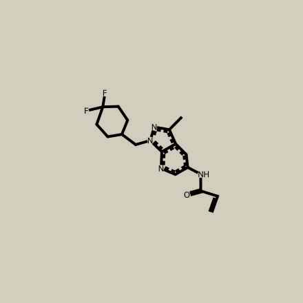 C=CC(=O)Nc1cnc2c(c1)c(C)nn2CC1CCC(F)(F)CC1